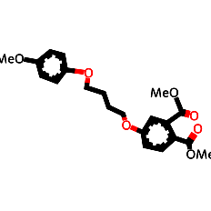 COC(=O)c1ccc(OCCCCOc2ccc(OC)cc2)cc1C(=O)OC